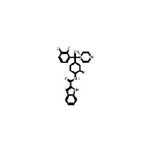 CC(c1cccc(Cl)c1Cl)(C1CCC(NC(=O)c2cc3ccccc3[nH]2)C(F)C1)N1CCNCC1